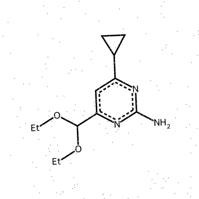 CCOC(OCC)c1cc(C2CC2)nc(N)n1